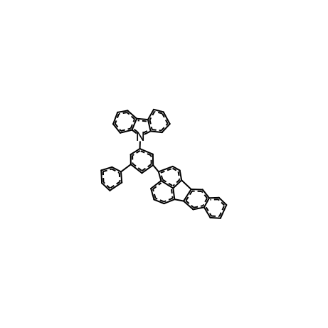 c1ccc(-c2cc(-c3ccc4c5c(cccc35)-c3cc5ccccc5cc3-4)cc(-n3c4ccccc4c4ccccc43)c2)cc1